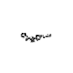 C#CCOc1ccc(-c2nnc([S@@+]([O-])Cc3ccccn3)o2)cc1